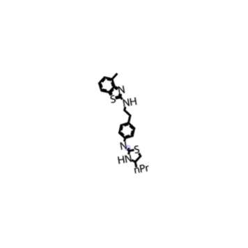 CCCC1CS/C(=N\c2ccc(CCNc3nc4c(C)cccc4s3)cc2)N1